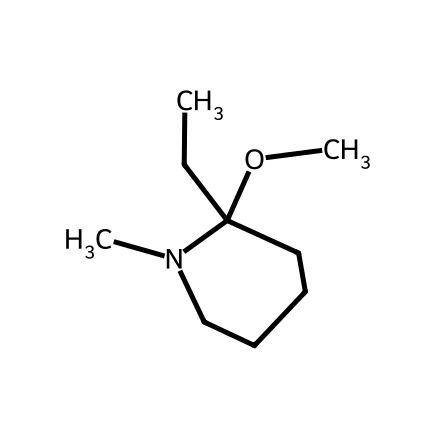 CCC1(OC)CCCCN1C